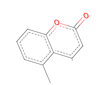 Cc1cccc2oc(=O)c[c]c12